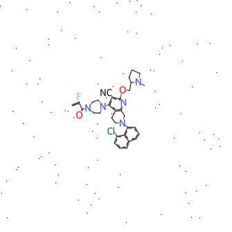 C=C(F)C(=O)N1CCN(c2c(C#N)c(OCC3CCCN3C)nc3c2CCN(c2cccc4cccc(Cl)c24)C3)CC1